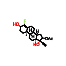 C#C[C@]1(O)[C@H](OC(C)=O)C[C@H]2[C@@H]3CCC4=C(F)[C@H](O)CC[C@]4(C)[C@H]3CC[C@@]21C